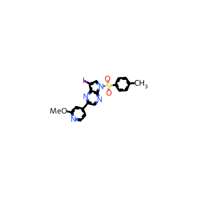 COc1cc(-c2cnc3c(n2)c(I)cn3S(=O)(=O)c2ccc(C)cc2)ccn1